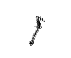 CCC(C)N1CCN(c2ccc(C(=O)NCCCCCCCCCCCCCCCCCCO[N+](=O)[O-])cn2)CC1